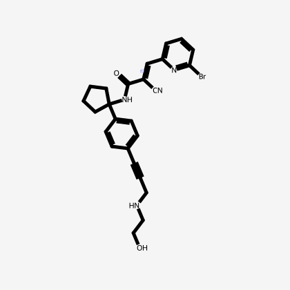 N#C/C(=C\c1cccc(Br)n1)C(=O)NC1(c2ccc(C#CCNCCO)cc2)CCCC1